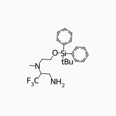 CN(CCO[Si](c1ccccc1)(c1ccccc1)C(C)(C)C)C(CN)C(F)(F)F